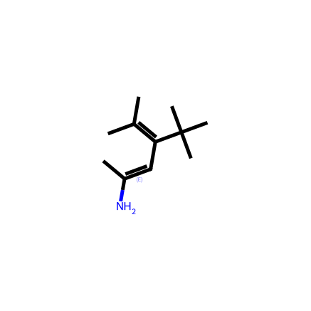 CC(C)=C(/C=C(\C)N)C(C)(C)C